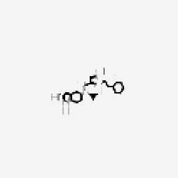 Cc1cc(C(=O)N(C2CC2)C2CCC3NNC=C3C2)c(C)n1CCC1CCCCC1